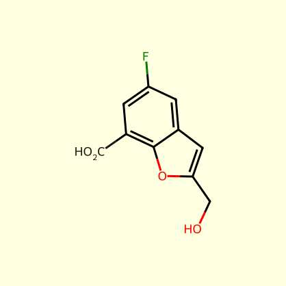 O=C(O)c1cc(F)cc2cc(CO)oc12